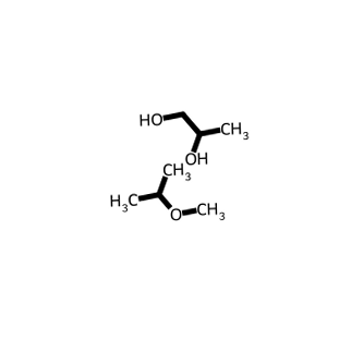 CC(O)CO.COC(C)C